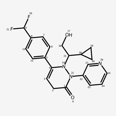 O=C1CC=C(c2ccc(C(F)F)cc2)N(C(CO)C2CC2)N1c1cccnc1